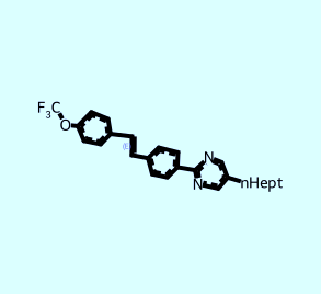 CCCCCCCc1cnc(-c2ccc(/C=C/c3ccc(OC(F)(F)F)cc3)cc2)nc1